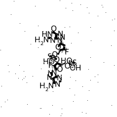 Nc1nc2c(nnn2[C@H]2C[C@@H](F)[C@@H](COP(O)(=S)OC3[C@@H](COP(O)(O)=S)O[C@@H](n4nnc5c(N)ncnc54)[C@H]3F)O2)c(=O)[nH]1